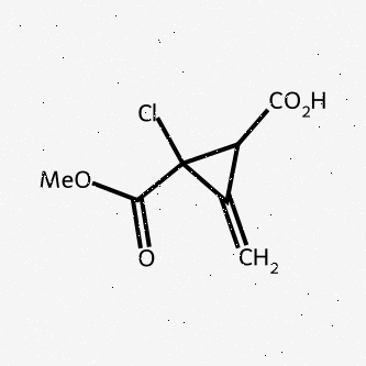 C=C1C(C(=O)O)C1(Cl)C(=O)OC